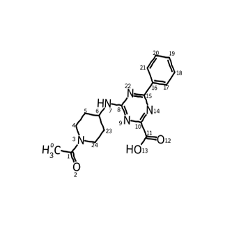 CC(=O)N1CCC(Nc2nc(C(=O)O)nc(-c3ccccc3)n2)CC1